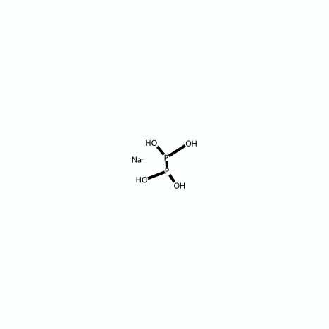 OP(O)P(O)O.[Na]